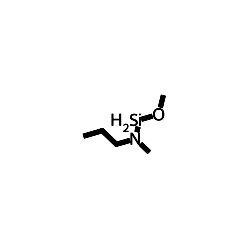 CCCN(C)[SiH2]OC